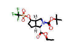 CCOC(=O)[C@@H]1[C@H]2CCC(OS(=O)(=O)C(F)(F)F)[C@H]2CN1C(=O)OC(C)(C)C